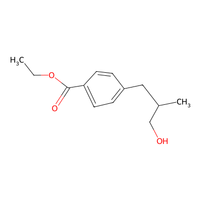 CCOC(=O)c1ccc(CC(C)CO)cc1